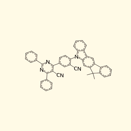 CC1(C)c2ccccc2-c2cc3c4ccccc4n(-c4ccc(-c5nc(-c6ccccc6)nc(-c6ccccc6)c5C#N)cc4C#N)c3cc21